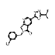 CC(F)c1nnc(-c2cnc3c(c2)C(=O)N(Cc2cccc(Cl)c2)C3)o1